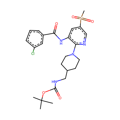 CC(C)(C)OC(=O)NCC1CCN(c2ncc(S(C)(=O)=O)cc2NC(=O)c2cccc(Cl)c2)CC1